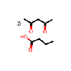 CC(=O)CC(C)=O.CCCC(=O)O.[Zr]